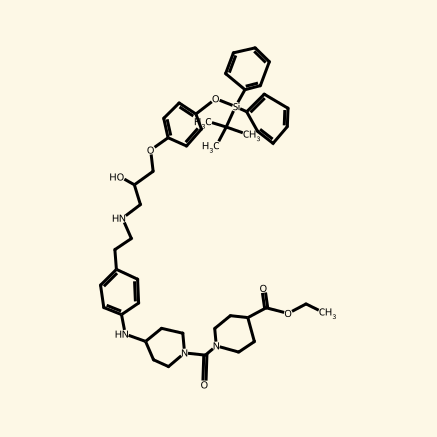 CCOC(=O)C1CCN(C(=O)N2CCC(Nc3ccc(CCNCC(O)COc4ccc(O[Si](c5ccccc5)(c5ccccc5)C(C)(C)C)cc4)cc3)CC2)CC1